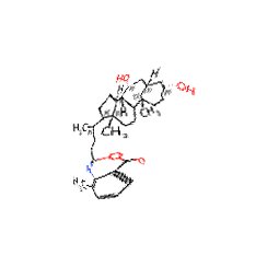 Cc1cccc2c(=O)oc(CC[C@@H](C)[C@H]3CC[C@H]4[C@H]5C(CC[C@]34C)[C@@]3(C)CC[C@@H](O)C[C@H]3C[C@H]5O)nc12